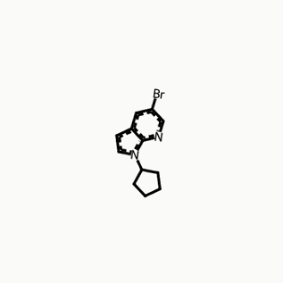 Brc1cnc2c(ccn2C2CCCC2)c1